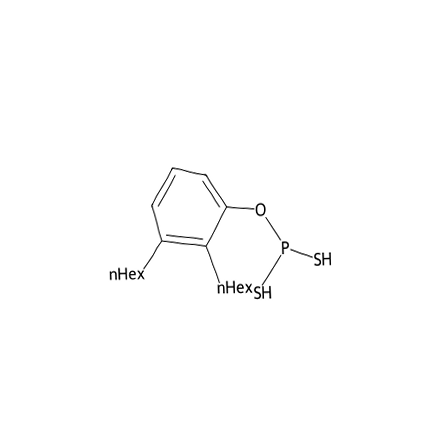 CCCCCCc1cccc(OP(S)S)c1CCCCCC